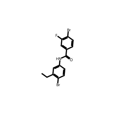 CCc1cc(NC(=O)c2ccc(Br)c(F)c2)ccc1Br